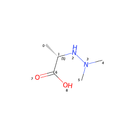 C[C@H](NN(C)C)C(=O)O